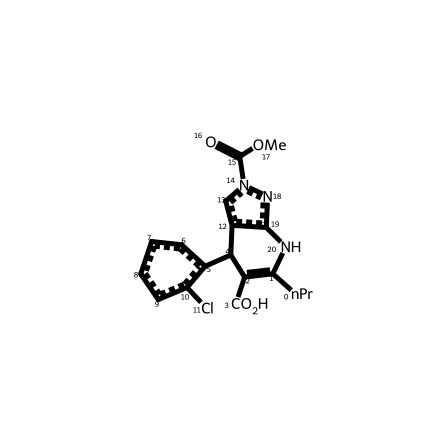 CCCC1=C(C(=O)O)C(c2ccccc2Cl)c2cn(C(=O)OC)nc2N1